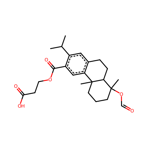 CC(C)c1cc2c(cc1C(=O)OCCC(=O)O)C1(C)CCCC(C)(OC=O)C1CC2